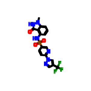 Cn1[nH]c(=O)c2c(NS(=O)(=O)c3ccc(-n4cc(C(F)(F)F)cn4)nc3)cccc21